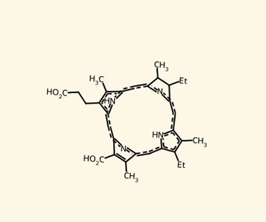 CCc1c(C)c2cc3nc(cc4[nH]c(cc5nc(cc1[nH]2)C(C)=C5C(=O)O)c(CCC(=O)O)c4C)C(C)C3CC